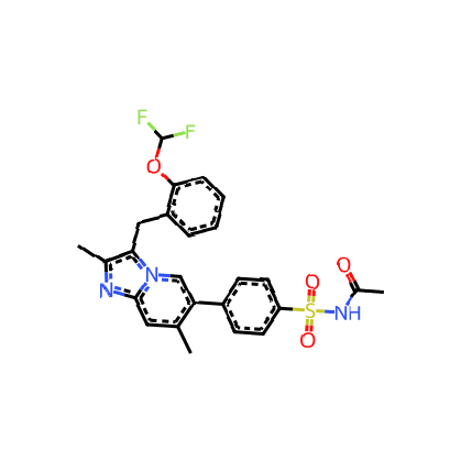 CC(=O)NS(=O)(=O)c1ccc(-c2cn3c(Cc4ccccc4OC(F)F)c(C)nc3cc2C)cc1